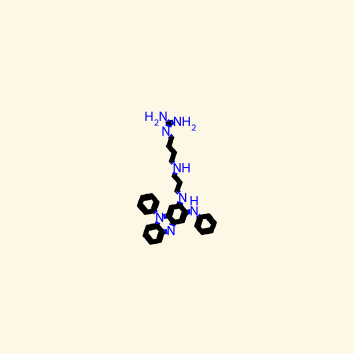 NC(N)=NCCCCNCCC/N=c1\cc2n(-c3ccccc3)c3ccccc3nc-2cc1Nc1ccccc1